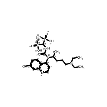 CCN(CC)CCCC(C)N(C(=O)NC(P(=O)(O)O)P(=O)(O)O)c1ccnc2cc(Cl)ccc12